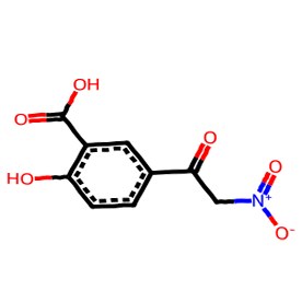 O=C(C[N+](=O)[O-])c1ccc(O)c(C(=O)O)c1